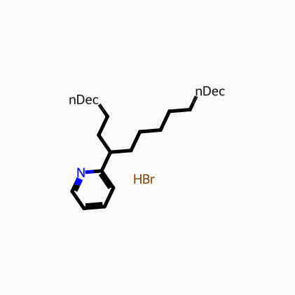 Br.CCCCCCCCCCCCCCCC(CCCCCCCCCCCC)c1ccccn1